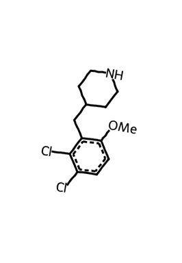 COc1ccc(Cl)c(Cl)c1CC1CCNCC1